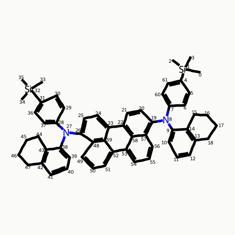 C[Si](C)(C)c1ccc(N(c2cccc3c2CCCC3)c2ccc3c4ccc(N(c5ccc([Si](C)(C)C)cc5)c5cccc6c5CCCC6)c5cccc(c6cccc2c63)c54)cc1